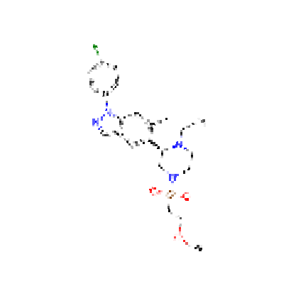 Cc1cc2c(cnn2-c2ccc(F)cc2)cc1[C@@H]1CN(S(=O)(=O)CCOC(C)C)CCN1CC(C)C